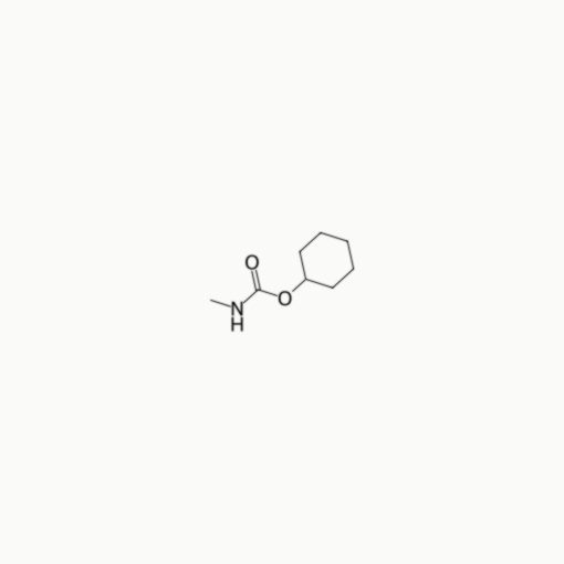 CNC(=O)OC1CCCCC1